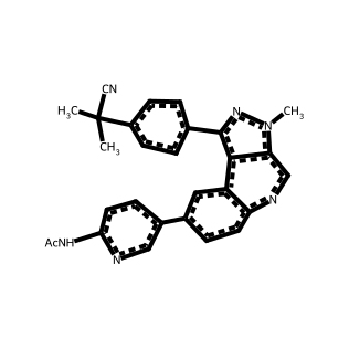 CC(=O)Nc1ccc(-c2ccc3ncc4c(c(-c5ccc(C(C)(C)C#N)cc5)nn4C)c3c2)cn1